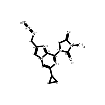 CN1C(=O)CN(c2nc(C3CC3)cn3cc(CN=[N+]=[N-])nc23)C1=O